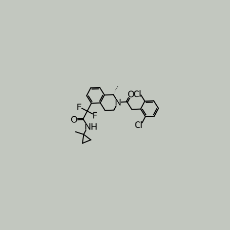 C[C@H]1c2cccc(C(F)(F)C(=O)NC3(C)CC3)c2CCN1C(=O)Cc1c(Cl)cccc1Cl